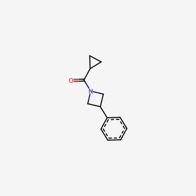 O=C(C1CC1)N1CC(c2cc[c]cc2)C1